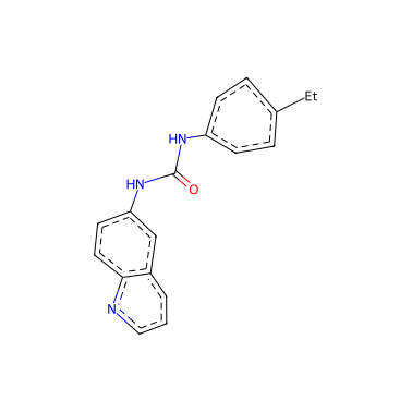 CCc1ccc(NC(=O)Nc2ccc3ncccc3c2)cc1